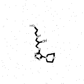 OCCNCC(O)COc1nsnc1N1CCOCC1